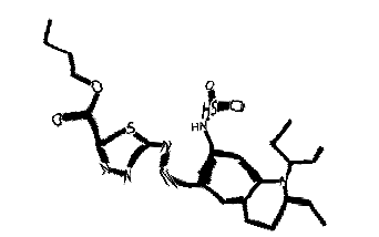 CCCCOC(=O)c1nnc(N=Nc2cc3c(cc2N[SH](=O)=O)N(C(CC)CC)C(CC)CC3)s1